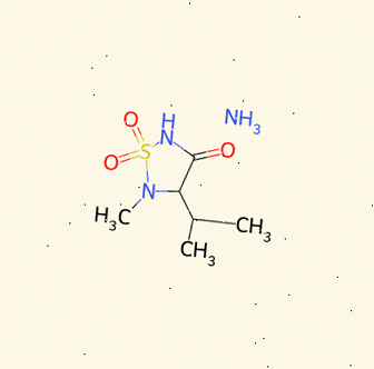 CC(C)C1C(=O)NS(=O)(=O)N1C.N